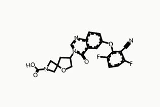 N#Cc1c(F)ccc(F)c1Oc1ccc2ncn(C3COC4(C3)CN(C(=O)O)C4)c(=O)c2c1